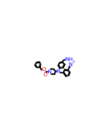 N#Cc1cccc(CN(c2ccc(CN)cc2)C2CCN(C(=O)OCc3ccccc3)CC2)c1